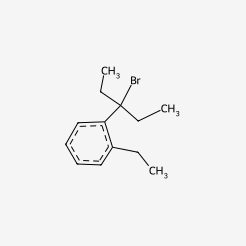 CCc1ccccc1C(Br)(CC)CC